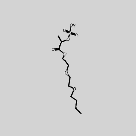 CCCCOCCOCCOC(=O)C(C)OS(=O)(=O)O